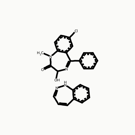 C1=Cc2ccccc2NN=C1.CN1C(=O)C(O)N=C(c2ccccc2)c2cc(Cl)ccc21